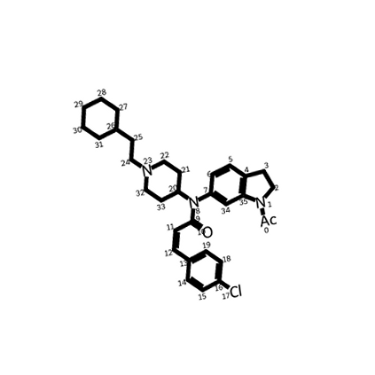 CC(=O)N1CCc2ccc(N(C(=O)/C=C\c3ccc(Cl)cc3)C3CCN(CCC4CCCCC4)CC3)cc21